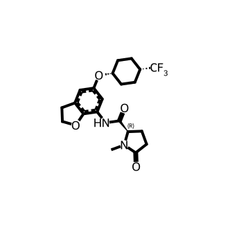 CN1C(=O)CC[C@@H]1C(=O)Nc1cc(O[C@H]2CC[C@@H](C(F)(F)F)CC2)cc2c1OCC2